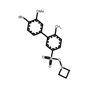 COc1cc(-c2cc(S(=O)(=O)ON3CCC3)ccc2C)ccc1C(C)(C)C